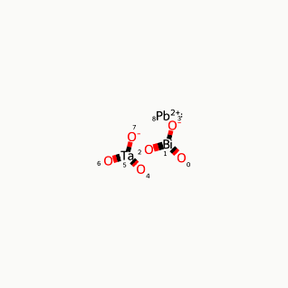 [O]=[Bi](=[O])[O-].[O]=[Ta](=[O])[O-].[Pb+2]